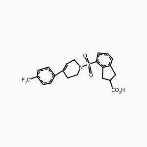 O=C(O)C1Cc2cccc(S(=O)(=O)N3CC=C(c4ccc(C(F)(F)F)cc4)CC3)c2C1